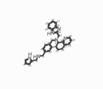 c1c[nH]c(CNCc2ccc(CN(Cc3nc4ccccc4[nH]3)C3CCCc4cccnc43)cc2)c1